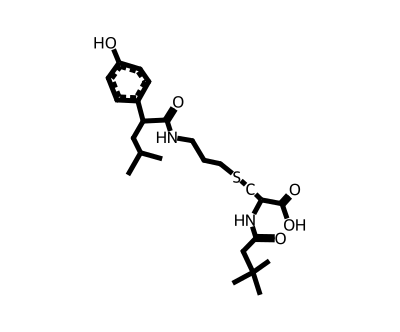 CC(C)CC(C(=O)NCCCSCC(NC(=O)CC(C)(C)C)C(=O)O)c1ccc(O)cc1